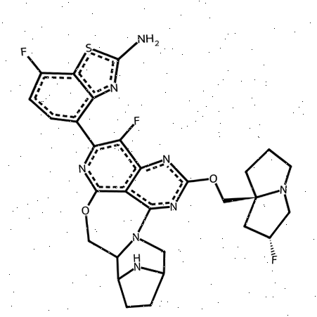 Nc1nc2c(-c3nc4c5c(nc(OC[C@@]67CCCN6C[C@H](F)C7)nc5c3F)N3CC5CCC(N5)C3CO4)ccc(F)c2s1